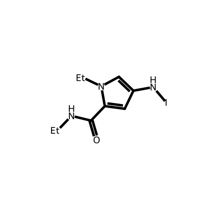 CCNC(=O)c1cc(NI)cn1CC